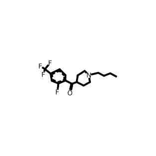 CCCCN1CCC(C(=O)c2ccc(C(F)(F)F)cc2F)CC1